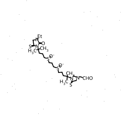 CCN1CC(=S)N(C(C)(C)CCC[S+]([O-])CCC[S+]([O-])CCCC(C)(C)N2CN(CC=O)CC2=S)C1=O